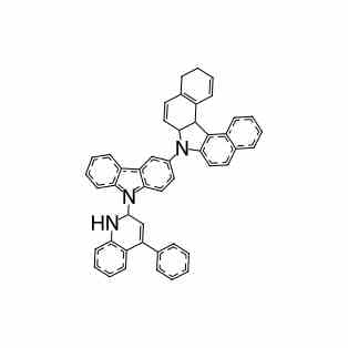 C1=CC2=C(C=CC3C2c2c(ccc4ccccc24)N3c2ccc3c(c2)c2ccccc2n3C2C=C(c3ccccc3)c3ccccc3N2)CC1